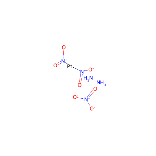 N.N.O=[N+]([O-])[O-].O=[N+]([O-])[Pt][N+](=O)[O-]